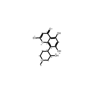 CCc1cc(=O)c2c(O)cc(O)c(C3CCN(C)CC3O)c2o1